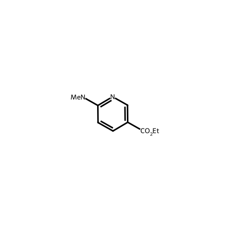 CCOC(=O)c1ccc(NC)nc1